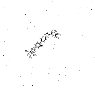 CC(C)(C)OC(=O)N1CCC2(CC=C(c3ccc(B4OC(C)(C)C(C)(C)O4)cc3F)CC2)C1